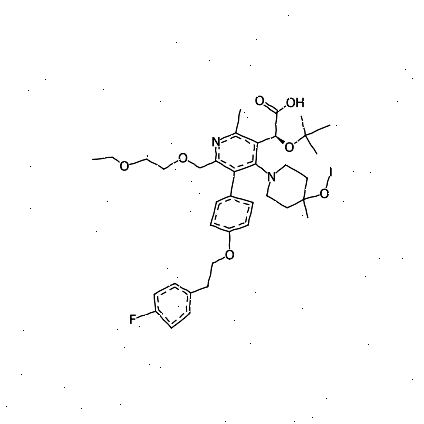 CCOCCOCc1nc(C)c([C@H](OC(C)(C)C)C(=O)O)c(N2CCC(C)(OI)CC2)c1-c1ccc(OCCc2ccc(F)cc2)cc1